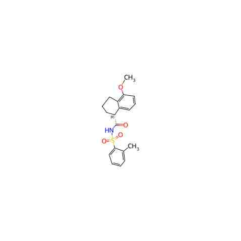 COc1cccc2c1CCC[C@H]2C(=O)NS(=O)(=O)c1ccccc1C